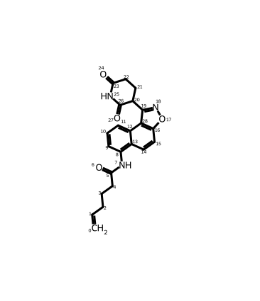 C=CCCCC(=O)Nc1cccc2c1ccc1onc(C3CCC(=O)NC3=O)c12